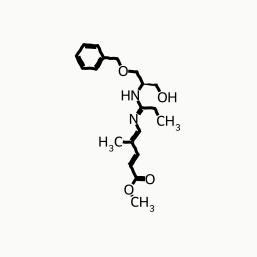 CC\C(=N/C=C(C)/C=C/C(=O)OC)N[C@H](CO)COCc1ccccc1